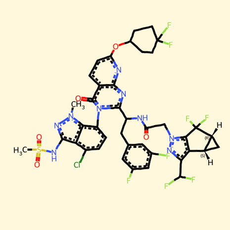 Cn1nc(NS(C)(=O)=O)c2c(Cl)ccc(-n3c(C(Cc4cc(F)cc(F)c4)NC(=O)Cn4nc(C(F)F)c5c4C(F)(F)[C@@H]4C[C@H]54)nc4nc(OC5CCC(F)(F)CC5)ccc4c3=O)c21